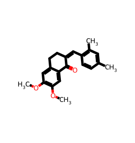 COc1cc2c(cc1OC)C(=O)C(=Cc1ccc(C)cc1C)CC2